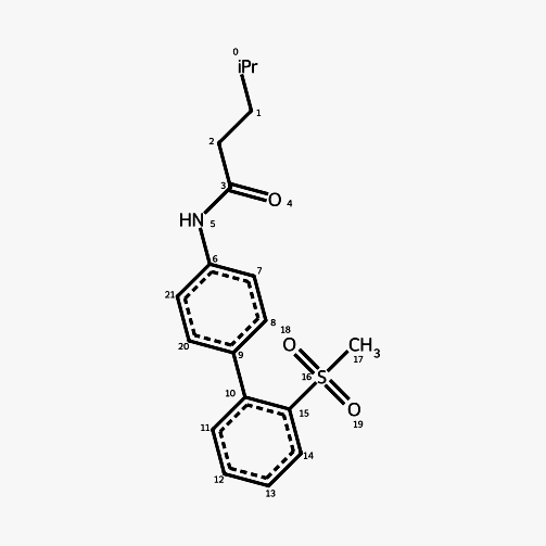 CC(C)CCC(=O)Nc1ccc(-c2ccccc2S(C)(=O)=O)cc1